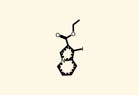 CCOC(=O)c1cn2ccccc2c1I